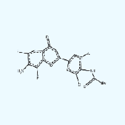 CC(C)(C)C(=O)Nc1c(Cl)cc(-c2cc(=O)c3cc(F)c(N)c(F)c3o2)cc1Cl